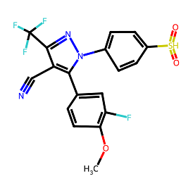 COc1ccc(-c2c(C#N)c(C(F)(F)F)nn2-c2ccc([SH](=O)=O)cc2)cc1F